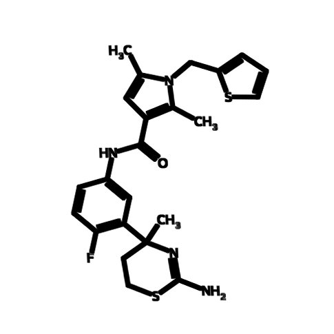 Cc1cc(C(=O)Nc2ccc(F)c(C3(C)CCSC(N)=N3)c2)c(C)n1Cc1cccs1